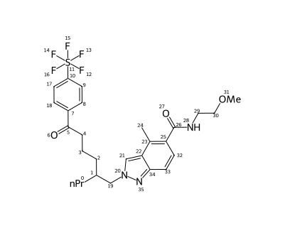 CCCC(CCCC(=O)c1ccc(S(F)(F)(F)(F)F)cc1)Cn1cc2c(C)c(C(=O)NCCOC)ccc2n1